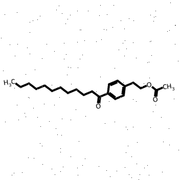 CCCCCCCCCCCC(=O)c1ccc(CCOC(C)=O)cc1